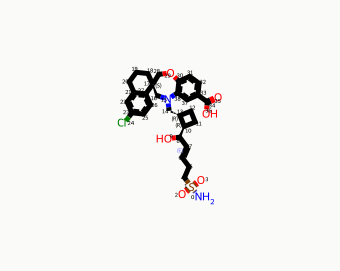 NS(=O)(=O)CC/C=C/C(O)[C@@H]1CC[C@H]1CN1C[C@@]2(CCCc3cc(Cl)ccc32)COc2ccc(C(=O)O)cc21